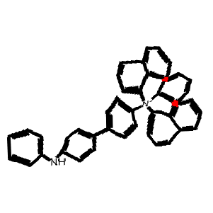 c1ccc(Nc2ccc(-c3ccc([N+](c4ccccc4)(c4cccc5ccccc45)c4cccc5ccccc45)cc3)cc2)cc1